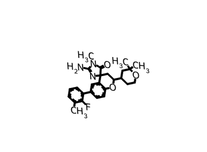 Cc1cccc(-c2ccc3c(c2)C2(CC(C4CCOC(C)(C)C4)O3)N=C(N)N(C)C2=O)c1F